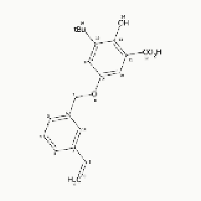 C=Cc1cccc(COc2cc(C(=O)O)c(O)c(C(C)(C)C)c2)c1